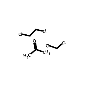 CC(C)=O.ClCCCl.ClCCl